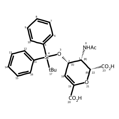 CC(=O)N[C@H]1[C@@H](O[Si](c2ccccc2)(c2ccccc2)C(C)(C)C)C=C(C(=O)O)O[C@H]1C(=O)O